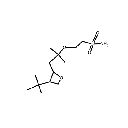 CC(C)(CC1OCC1C(C)(C)C)OCCS(N)(=O)=O